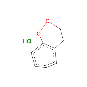 Cl.c1ccc2c(c1)CCOO2